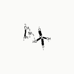 CCCC.N.O=S(=O)(O)O